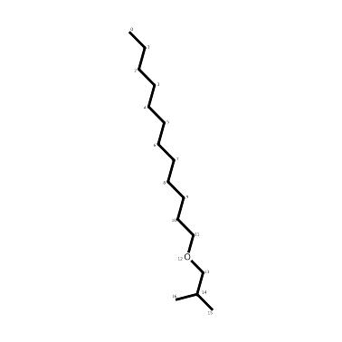 CCCCCCCCCCCCOC[C](C)C